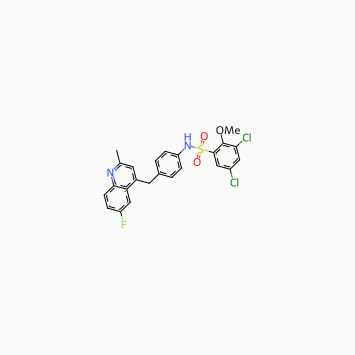 COc1c(Cl)cc(Cl)cc1S(=O)(=O)Nc1ccc(Cc2cc(C)nc3ccc(F)cc23)cc1